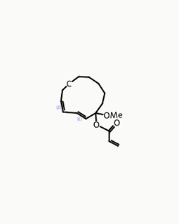 C=CC(=O)OC1(OC)/C=C/C=C\CCCCCCC1